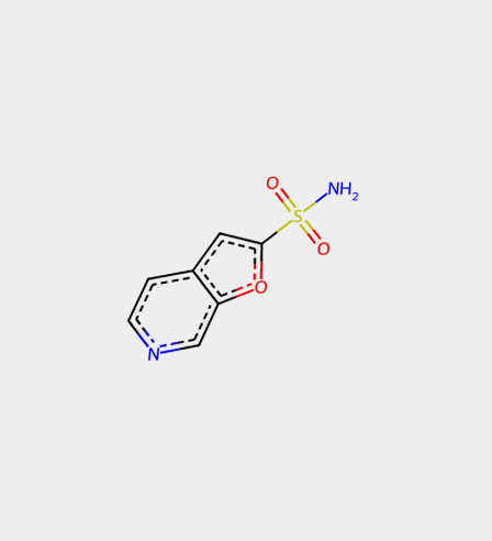 NS(=O)(=O)c1cc2ccncc2o1